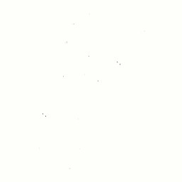 c1cnc2c(-c3ccc4c(c3)[nH]c3ccccc34)cccc2c1